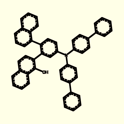 Oc1c(-c2cc(N(c3ccc(-c4ccccc4)cc3)c3ccc(-c4ccccc4)cc3)ccc2-c2cccc3ccccc23)ccc2ccccc12